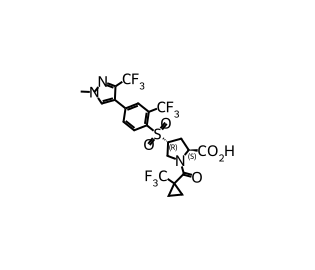 Cn1cc(-c2ccc(S(=O)(=O)[C@@H]3C[C@@H](C(=O)O)N(C(=O)C4(C(F)(F)F)CC4)C3)c(C(F)(F)F)c2)c(C(F)(F)F)n1